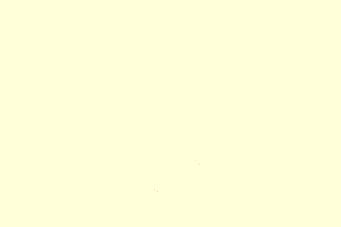 Cc1cc2c(-c3ccccc3C(=O)O)c3cc(C)c(=O)cc-3oc2cc1OS(=O)(=O)c1ccc([N+](=O)[O-])cc1[N+](=O)[O-]